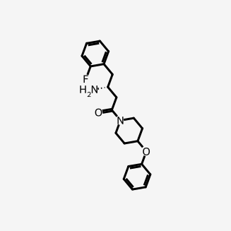 N[C@@H](CC(=O)N1CCC(Oc2ccccc2)CC1)Cc1ccccc1F